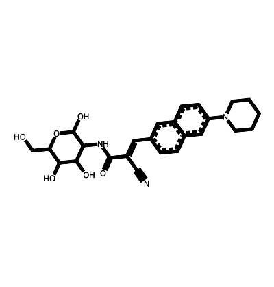 N#C/C(=C\c1ccc2cc(N3CCCCC3)ccc2c1)C(=O)NC1C(O)OC(CO)C(O)C1O